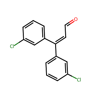 O=CC=C(c1cccc(Cl)c1)c1cccc(Cl)c1